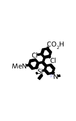 C=C[Si]1(C)C2=C/C(=N/C)C=CC2=C(c2c(Cl)cc(C(=O)O)cc2Cl)c2ccc(NC)cc21